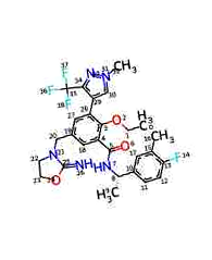 CCOc1c(C(=O)N[C@@H](C)c2ccc(F)c(C)c2)cc(CN2CCOC2=N)cc1-c1cn(C)nc1C(F)(F)F